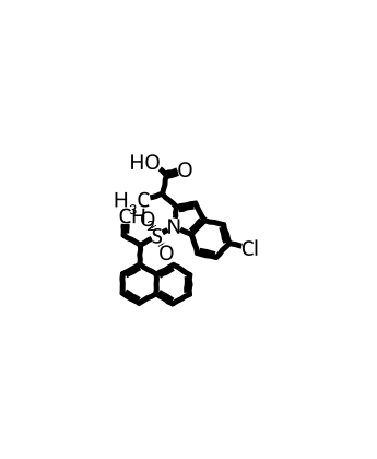 C=CC(c1cccc2ccccc12)S(=O)(=O)n1c(C(C)C(=O)O)cc2cc(Cl)ccc21